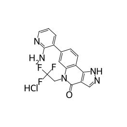 Cl.Nc1ncccc1-c1ccc2c3[nH]ncc3c(=O)n(CC(F)(F)F)c2c1